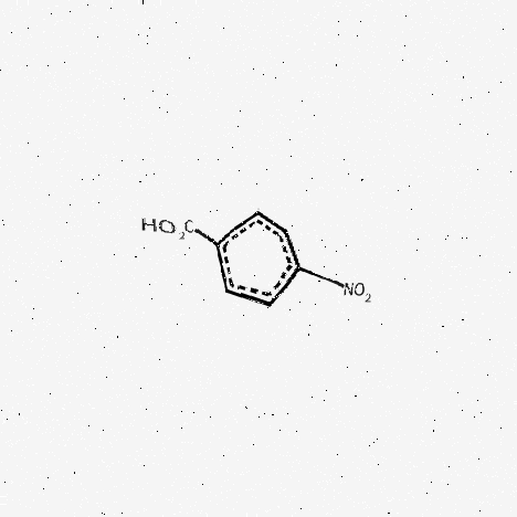 O=C(O)c1[c]cc([N+](=O)[O-])cc1